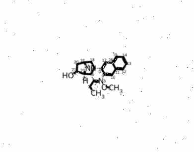 CCC(=NOC)[C@H]1[C@@H](c2ccc3ccccc3c2)CC2CC(O)[C@H]1N2